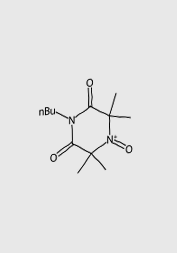 CCCCN1C(=O)C(C)(C)[N+](=O)C(C)(C)C1=O